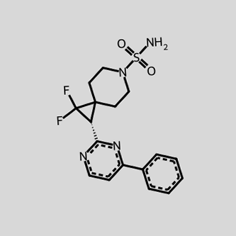 NS(=O)(=O)N1CCC2(CC1)[C@H](c1nccc(-c3ccccc3)n1)C2(F)F